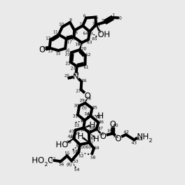 CC#C[C@@]1(O)CCC2C3CCC4=CC(=O)CCC4=C3[C@H](c3ccc(N(C)CCO[C@H]4CC[C@@]5(C)[C@@H](C4)C[C@@H](OC(=O)OCCN)[C@@H]4[C@@H]5C[C@H](O)[C@]5(C)[C@@H]([C@H](C)CCC(=O)O)CC[C@@H]45)cc3)C[C@@]21C